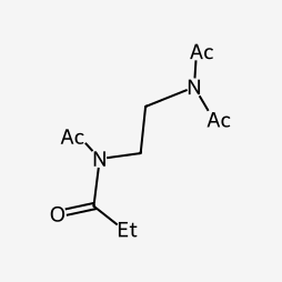 CCC(=O)N(CCN(C(C)=O)C(C)=O)C(C)=O